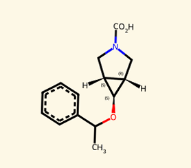 CC(O[C@H]1[C@@H]2CN(C(=O)O)C[C@@H]21)c1ccccc1